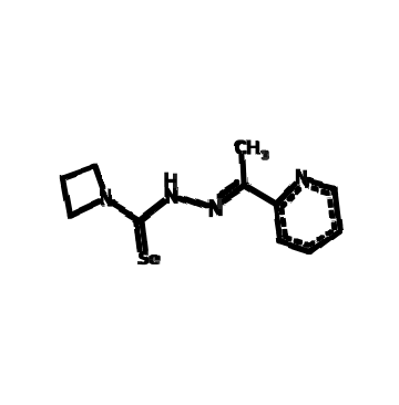 CC(=NNC(=[Se])N1CCC1)c1ccccn1